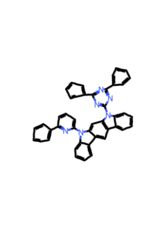 c1ccc(-c2cccc(-n3c4ccccc4c4cc5c6ccccc6n(-c6nc(-c7ccccc7)nc(-c7ccccc7)n6)c5cc43)n2)cc1